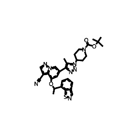 Cc1c(-c2cc(OC(C)c3cccc4cnsc34)c3c(C#N)cnn3c2)nnn1C1CCN(C(=O)OC(C)(C)C)CC1